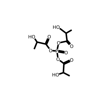 CC(O)C(=O)OP(=O)(OC(=O)C(C)O)OC(=O)C(C)O